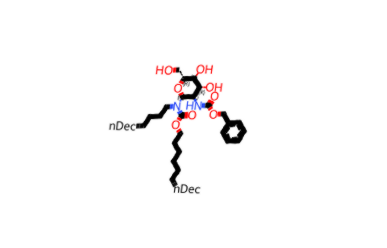 CCCCCCCCCCCCCCCCOC(=O)N(CCCCCCCCCCCCCC)[C@@H]1O[C@H](CO)[C@H](O)[C@H](O)[C@H]1NC(=O)OCc1ccccc1